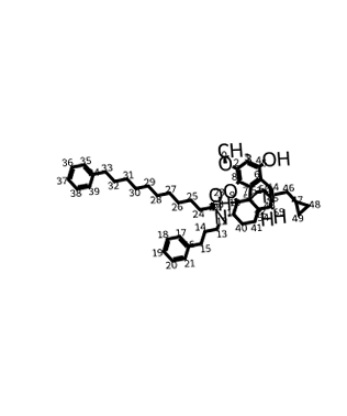 COc1cc(O)c2c3c1O[C@H]1[C@@H](N(CCCc4ccccc4)C(=O)CCCCCCCCCCc4ccccc4)CC[C@H]4[C@@H](C2)N(CC2CC2)CC[C@@]341